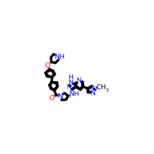 Cn1cc(-c2cnc3[nH]nc(N[C@@H]4CCN(C(=O)c5ccc(-c6ccc(OC7CCNCC7)cc6)cc5)C4)c3c2)cn1